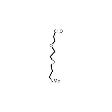 CNCCCOCCOCCC=O